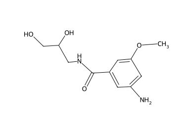 COc1cc(N)cc(C(=O)NCC(O)CO)c1